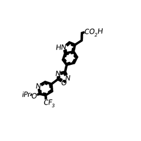 CC(C)Oc1ncc(-c2nc(-c3ccc4c(CCC(=O)O)c[nH]c4c3)no2)cc1C(F)(F)F